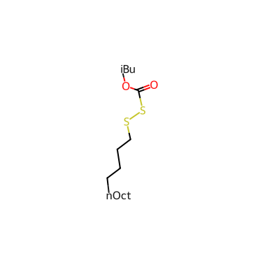 CCCCCCCCCCCCSSC(=O)OC(C)CC